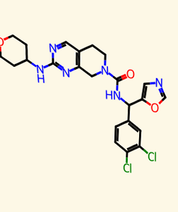 O=C(NC(c1ccc(Cl)c(Cl)c1)c1cnco1)N1CCc2cnc(NC3CCOCC3)nc2C1